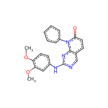 COc1ccc(Nc2ncc3ccc(=O)n(-c4ccccc4)c3n2)cc1OC